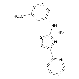 Br.O=C(O)c1ccnc(Nc2nc(-c3ccccn3)cs2)c1